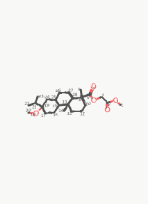 COC(=O)COC(=O)C1(C)CCCC2(C)C3CCC(OC)(C(C)C)CC3CCC12